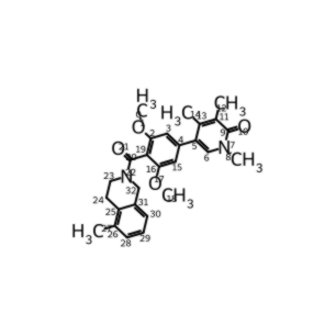 COc1cc(-c2cn(C)c(=O)c(C)c2C)cc(OC)c1C(=O)N1CCc2c(C)cccc2C1